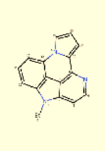 CCn1c2ccnc3c2c2c1cccc2n1cccc31